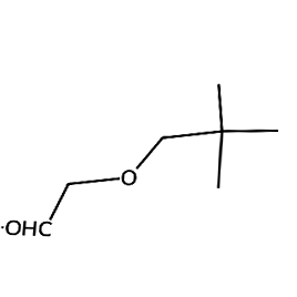 CC(C)(C)COC[C]=O